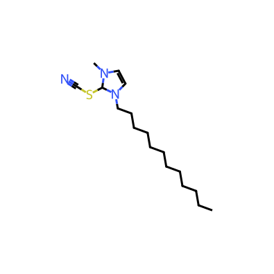 CCCCCCCCCCCCN1C=CN(C)C1SC#N